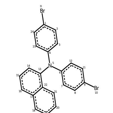 Brc1ccc(N(c2ccc(Br)cc2)c2cccc3ccccc23)cc1